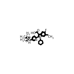 CCc1cc2c(cc1F)c(C(=O)O)c(-c1ccc(NS(=O)(=O)C(C)(C)C)cn1)n2C1CCCCC1